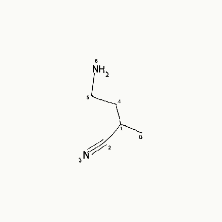 CC(C#N)CCN